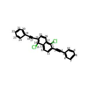 Clc1c(C#Cc2ccccc2)ccc2c(Cl)c(C#Cc3ccccc3)ccc12